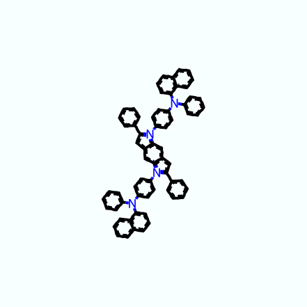 c1ccc(-c2cc3cc4c(cc(-c5ccccc5)n4-c4ccc(N(c5ccccc5)c5cccc6ccccc56)cc4)cc3n2-c2ccc(N(c3ccccc3)c3cccc4ccccc34)cc2)cc1